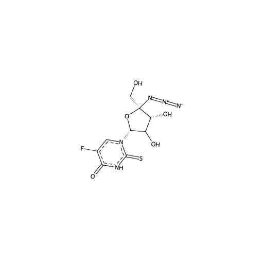 [N-]=[N+]=N[C@]1(CO)O[C@@H](n2cc(F)c(=O)[nH]c2=S)C(O)[C@H]1O